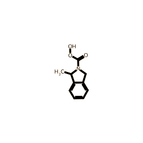 CC1c2ccccc2CN1C(=O)OO